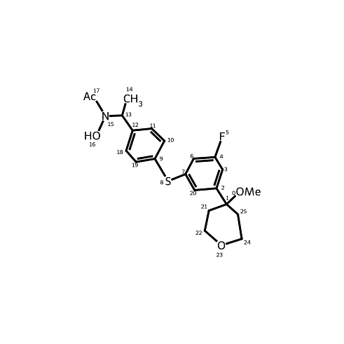 COC1(c2cc(F)cc(Sc3ccc(C(C)N(O)C(C)=O)cc3)c2)CCOCC1